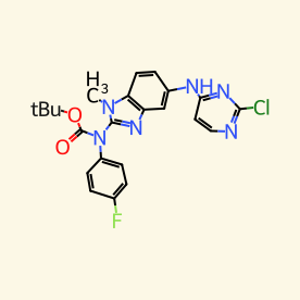 Cn1c(N(C(=O)OC(C)(C)C)c2ccc(F)cc2)nc2cc(Nc3ccnc(Cl)n3)ccc21